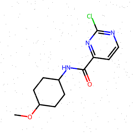 COC1CCC(NC(=O)c2ccnc(Cl)n2)CC1